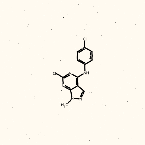 Cn1ncc2c(Nc3ccc(Cl)cc3)nc(Cl)nc21